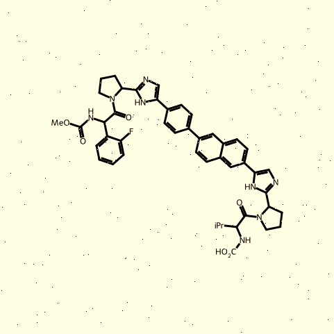 COC(=O)NC(C(=O)N1CCCC1c1ncc(-c2ccc(-c3ccc4cc(-c5cnc(C6CCCN6C(=O)C(NC(=O)O)C(C)C)[nH]5)ccc4c3)cc2)[nH]1)c1ccccc1F